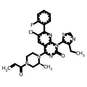 C=CC(=O)N1CCN(c2nc(=O)n(-c3scnc3CC)c3nc(-c4ccccc4F)c(Cl)cc23)[C@@H](C)C1